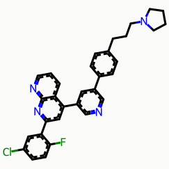 Fc1ccc(Cl)cc1-c1cc(-c2cncc(-c3ccc(CCCN4CCCC4)cc3)c2)c2cccnc2n1